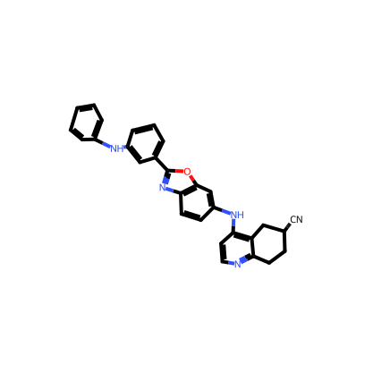 N#CC1CCc2nccc(Nc3ccc4nc(-c5cccc(Nc6ccccc6)c5)oc4c3)c2C1